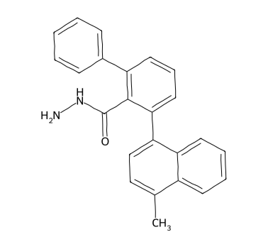 Cc1ccc(-c2cccc(-c3ccccc3)c2C(=O)NN)c2ccccc12